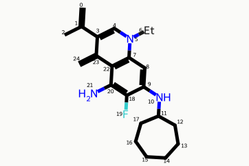 C=C(C)C1=CN(CC)c2cc(NC3CCCCCC3)c(F)c(N)c2C1=C